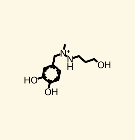 C[N+](Cc1ccc(O)c(O)c1)NCCCO